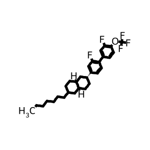 CCCCCCCC1CC[C@@H]2C[C@H](c3ccc(-c4ccc(OC(F)(F)F)c(F)c4)c(F)c3)CC[C@@H]2C1